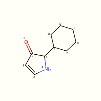 O=C1C=CNC1C1CCCCC1